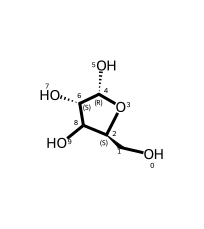 OC[C@@H]1O[C@@H](O)[C@@H](O)C1O